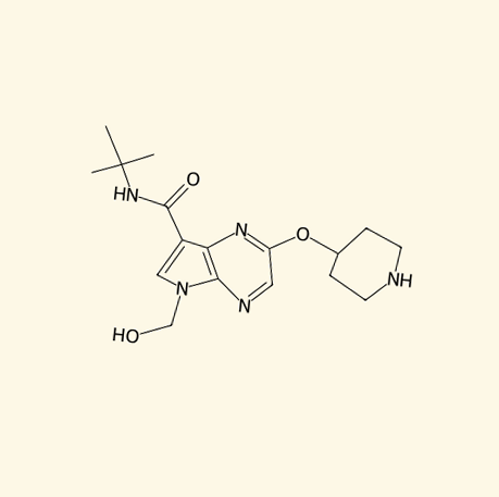 CC(C)(C)NC(=O)c1cn(CO)c2ncc(OC3CCNCC3)nc12